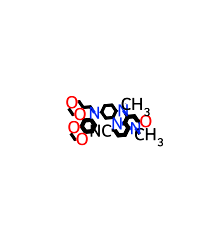 Cn1c(=O)cc(N(C)[C@H]2CC[C@@H](N(CC3COCCO3)c3ccc4c(c3)OCCO4)CC2)c2nc(C#N)ccc21